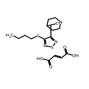 CCCCSc1nsnc1C1CN2CCC1CC2.O=C(O)/C=C/C(=O)O